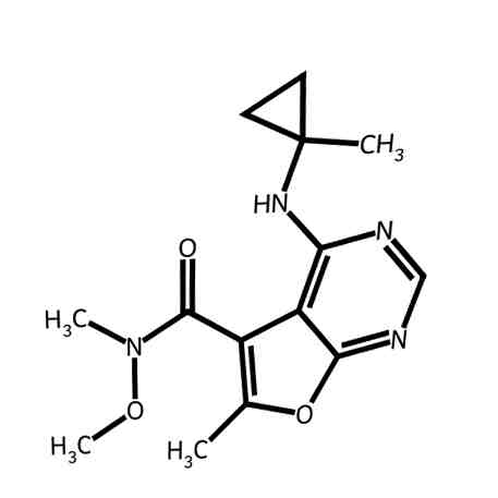 CON(C)C(=O)c1c(C)oc2ncnc(NC3(C)CC3)c12